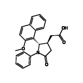 COc1ccc2ccccc2c1[C@@H]1[C@@H](CC(=O)O)CC(=O)N1c1ccccc1